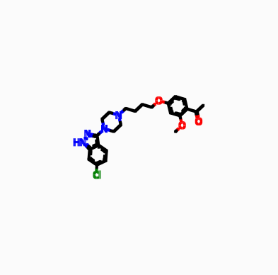 COc1cc(OCCCCN2CCN(c3n[nH]c4cc(Cl)ccc34)CC2)ccc1C(C)=O